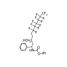 CC(C)OC(=O)NC(C[C@@H](O)CCC(F)(F)C(F)(F)C(F)(F)C(F)(F)C(F)(F)C(F)(F)F)c1ccccc1